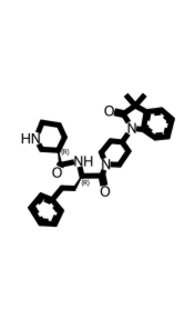 CC1(C)C(=O)N(C2CCN(C(=O)[C@@H](CCc3ccccc3)NC(=O)[C@@H]3CCCNC3)CC2)c2ccccc21